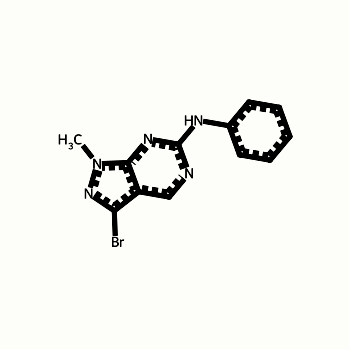 Cn1nc(Br)c2cnc(Nc3ccccc3)nc21